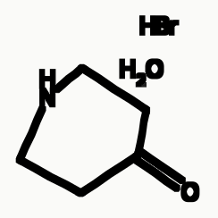 Br.O.O=C1CCNCC1